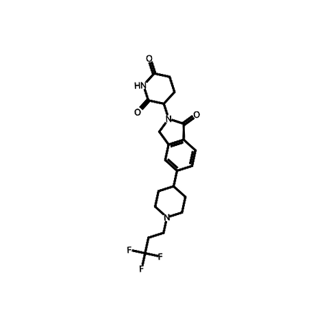 O=C1CCC(N2Cc3cc(C4CCN(CCC(F)(F)F)CC4)ccc3C2=O)C(=O)N1